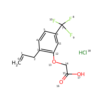 C=CCc1ccc(C(F)(F)F)cc1OCC(=O)O.Cl